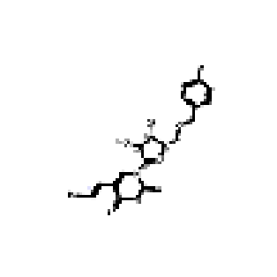 Cc1ccc(COC[C@H]2O[C@@H](n3cc(/C=C/Br)c(=O)[nH]c3=O)[C@@H](O)[C@@H]2O)cc1